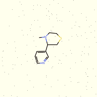 CN1CCSCC1c1cccnc1